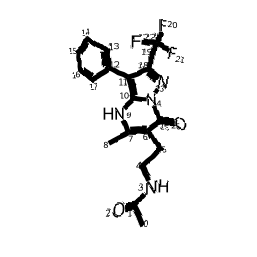 CC(=O)NCCc1c(C)[nH]c2c(-c3ccccc3)c(C(F)(F)F)nn2c1=O